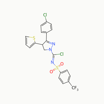 O=S(=O)(N=C(Cl)N1CC(c2cccs2)C(c2ccc(Cl)cc2)=N1)c1ccc(C(F)(F)F)cc1